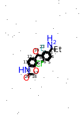 CC[C@@H](N)c1ccc(Cl)c(C(=O)c2ccc3c(c2)OCC(=O)N3)c1F